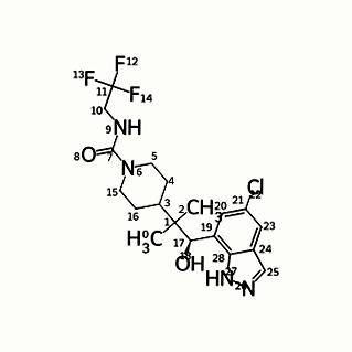 CC(C)(C1CCN(C(=O)NCC(F)(F)F)CC1)[C@H](O)c1cc(Cl)cc2cn[nH]c12